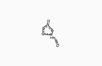 N=O.c1c[nH]cn1